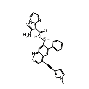 C[C@@H](NC(=O)c1c(N)nn2cccnc12)c1cc2nncc(C#Cc3ccn(C)n3)c2cc1-c1ccccc1